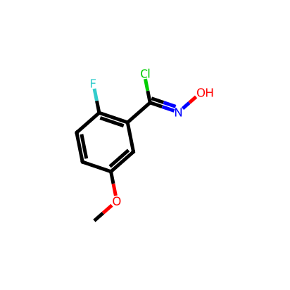 COc1ccc(F)c(C(Cl)=NO)c1